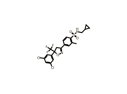 Cc1cc(C2=NOC(c3cc(Cl)cc(Cl)c3)(C(F)(F)F)C2)ccc1S(=O)(=O)NCC1CC1